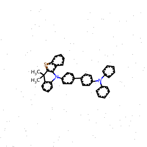 CC1(C)c2ccccc2N(c2ccc(-c3ccc(N(c4ccccc4)c4ccccc4)cc3)cc2)c2c1sc1ccccc21